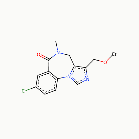 CCOCc1ncn2c1CN(C)C(=O)c1cc(Cl)ccc1-2